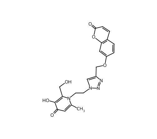 Cc1cc(=O)c(O)c(CO)n1CCn1cc(COc2ccc3ccc(=O)oc3c2)nn1